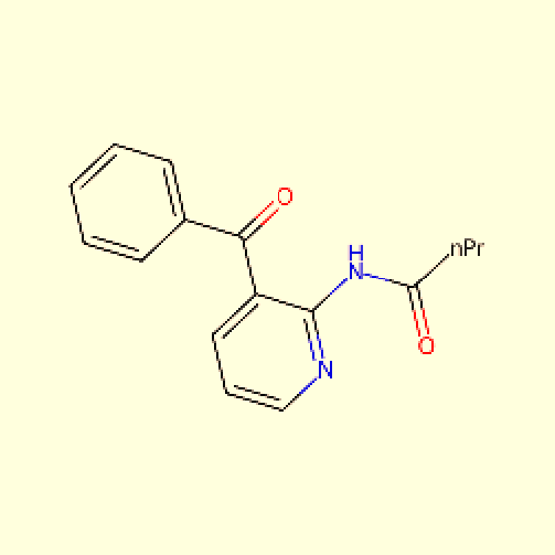 CCCC(=O)Nc1ncccc1C(=O)c1ccccc1